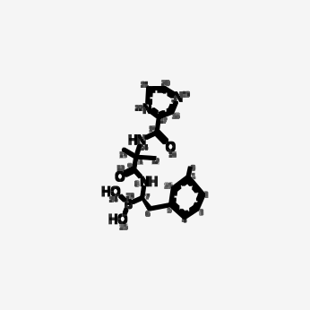 Cc1cccc(C[C@H](NC(=O)C(C)(C)NC(=O)c2cnccn2)B(O)O)c1